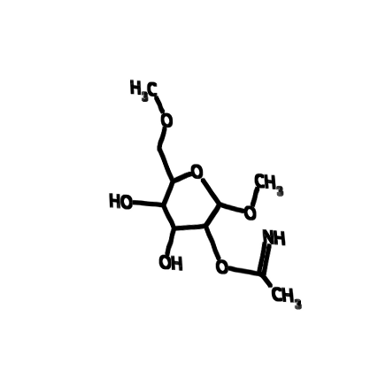 COCC1OC(OC)C(OC(C)=N)C(O)C1O